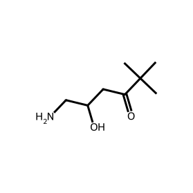 CC(C)(C)C(=O)CC(O)CN